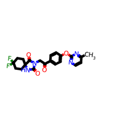 Cc1ccnc(Oc2ccc(C(=O)CN3C(=O)NC4(CCC(F)(F)CC4)C3=O)cc2)n1